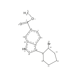 COC(=O)c1ccc2c(C3CCCCC3Br)c[nH]c2c1